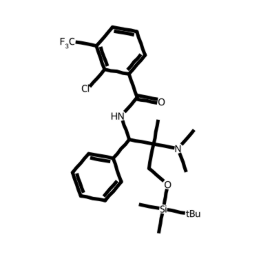 CN(C)C(C)(CO[Si](C)(C)C(C)(C)C)C(NC(=O)c1cccc(C(F)(F)F)c1Cl)c1ccccc1